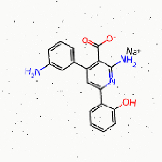 Nc1cccc(-c2cc(-c3ccccc3O)nc(N)c2C(=O)[O-])c1.[Na+]